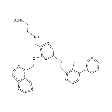 CC(=O)NCCNCc1ccc(OCc2cccc(-c3ccccc3)c2C)cc1OCc1nccc2ccccc12